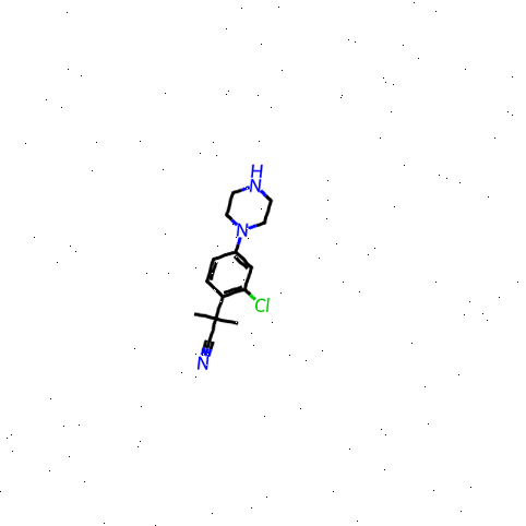 CC(C)(C#N)c1ccc(N2CCNCC2)cc1Cl